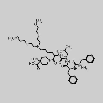 COCCOCCN(CCCCC(NC(=O)[C@@H](CC(C)C)NC(=O)C(Cc1ccccc1)NC(=O)[C@H](N)Cc1ccccc1)C(=O)N1CCC(N)(C(=O)O)CC1)CCOCCOC